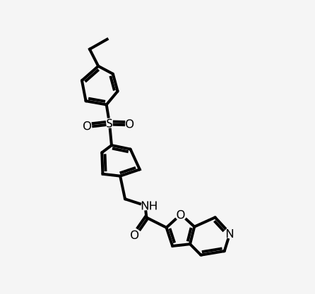 CCc1ccc(S(=O)(=O)c2ccc(CNC(=O)c3cc4ccncc4o3)cc2)cc1